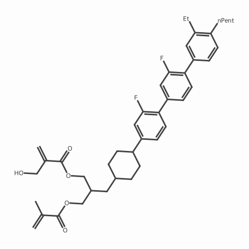 C=C(C)C(=O)OCC(COC(=O)C(=C)CO)CC1CCC(c2ccc(-c3ccc(-c4ccc(CCCCC)c(CC)c4)c(F)c3)c(F)c2)CC1